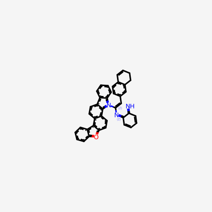 N=C1C=CC=C/C1=N/C(=C/c1ccc2c(c1)CCC=C2)n1c2ccccc2c2ccc3c(ccc4oc5ccccc5c43)c21